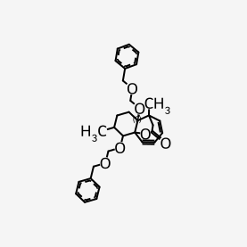 CC1CC[C@]2(OCOCc3ccccc3)C3(C)C=CC#CC2(OC(=O)C3)C1OCOCc1ccccc1